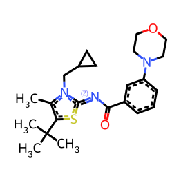 Cc1c(C(C)(C)C)s/c(=N\C(=O)c2cccc(N3CCOCC3)c2)n1CC1CC1